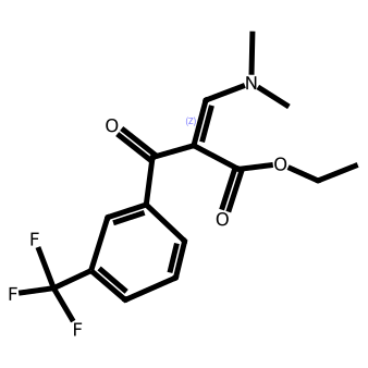 CCOC(=O)/C(=C\N(C)C)C(=O)c1cccc(C(F)(F)F)c1